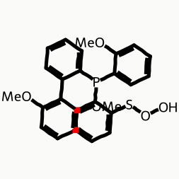 COc1ccccc1P(c1ccccc1SOO)c1ccccc1-c1c(OC)cccc1OC